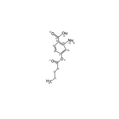 CCCCC(=O)Oc1ccc(C(=O)O)c(N)c1